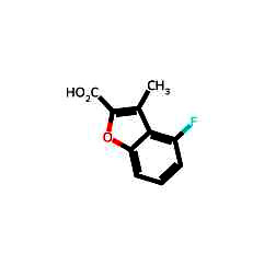 Cc1c(C(=O)O)oc2cccc(F)c12